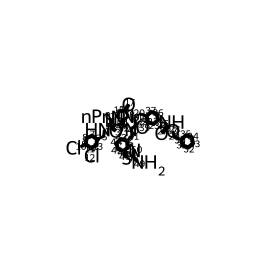 CCCN(C(=O)NCc1ccc(Cl)c(Cl)c1)N1CC(=O)N2[C@@H](Cc3ccc(NC(=O)OCc4ccccc4)cc3)C(=O)N(Cc3cccc4sc(N)nc34)C[C@@H]21